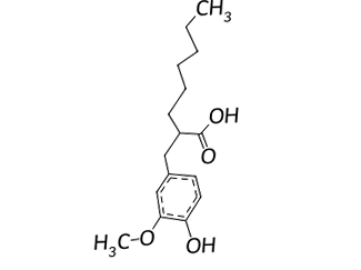 CCCCCCC(Cc1ccc(O)c(OC)c1)C(=O)O